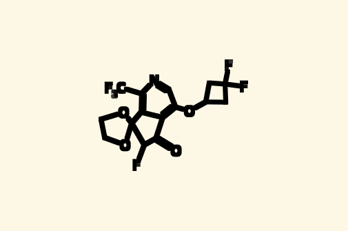 O=C1c2c(OC3CC(F)(F)C3)cnc(C(F)(F)F)c2C2(OCCO2)C1F